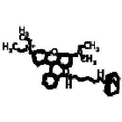 CCN(C)c1ccc2c(-c3ccccc3C(=O)NCCCCNC34CC5CC(CC(C5)C3)C4)c3ccc(=[N+](CC)CC)cc-3oc2c1